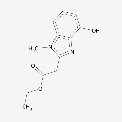 CCOC(=O)Cc1nc2c(O)cccc2n1C